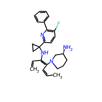 C=C/C(NC1(c2ccc(F)c(-c3ccccc3)n2)CC1)=C(\C=C/C)N1CCC[C@H](N)C1